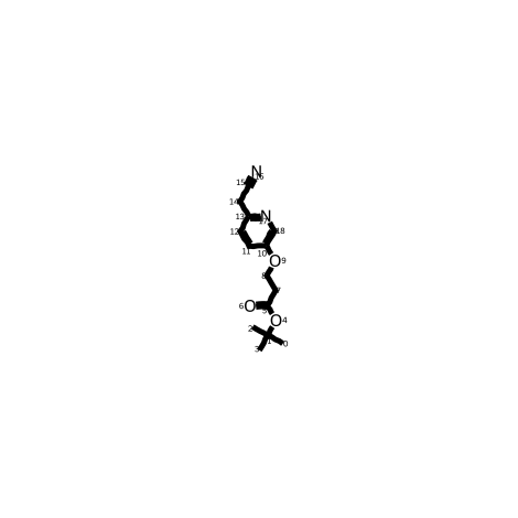 CC(C)(C)OC(=O)CCOc1ccc(CC#N)nc1